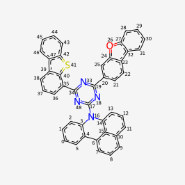 c1ccc2c(c1)-c1cccc3cccc(c13)N2c1nc(-c2ccc3c(c2)oc2ccccc23)nc(-c2cccc3c2sc2ccccc23)n1